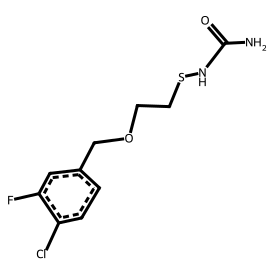 NC(=O)NSCCOCc1ccc(Cl)c(F)c1